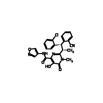 C[C@H](c1nc(C(=O)Nc2cnoc2)c(O)c(=O)n1C)[C@H](c1ccccc1Cl)c1ccccc1C#N